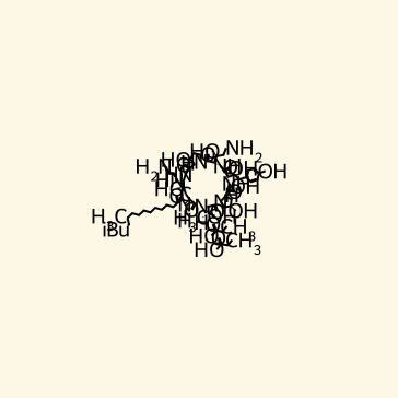 CCC(=O)O.CCC(=O)O.CCC(C)CC(C)CCCCCCCCC(=O)N[C@H]1C[C@@H](O)[C@H](NCCN)NC(=O)[C@@H]2[C@@H](O)CCN2C(=O)[C@H]([C@@H](O)CCN)NC(=O)[C@H]([C@H](O)[C@@H](O)c2ccc(O)cc2)NC(=O)[C@@H]2C[C@@H](O)CN2C(=O)[C@H]([C@@H](C)O)NC1=O